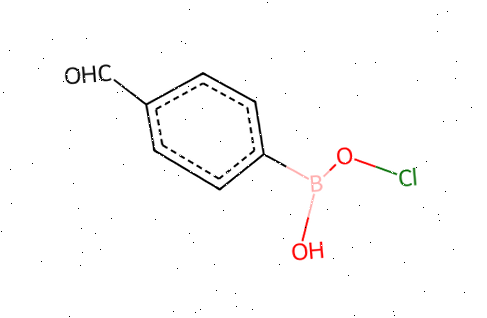 O=Cc1ccc(B(O)OCl)cc1